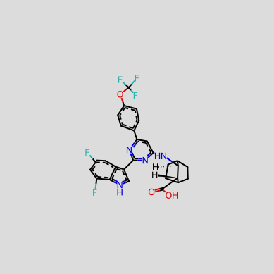 O=C(O)[C@H]1C2CCC(CC2)[C@@H]1Nc1cc(-c2ccc(OC(F)(F)F)cc2)nc(-c2c[nH]c3c(F)cc(F)cc23)n1